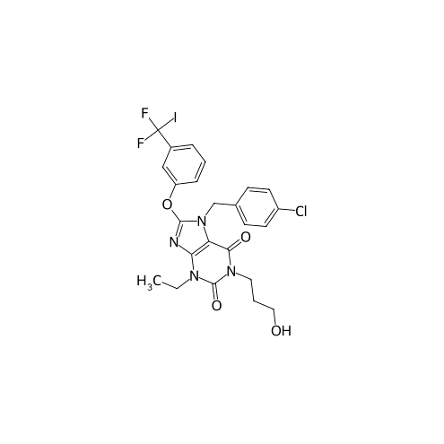 CCn1c(=O)n(CCCO)c(=O)c2c1nc(Oc1cccc(C(F)(F)I)c1)n2Cc1ccc(Cl)cc1